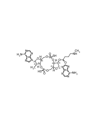 CNCCCC(=O)O[C@@H]1[C@@H]2O[P@](=O)(S)OC[C@H]3O[C@@H](n4cnc5c(N)ncnc54)[C@H](C)[C@@H]3O[P@](=O)(S)OC[C@H]2O[C@H]1n1cnc2c(N)ncnc21